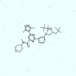 Cc1noc(C)c1-c1cc(C(=O)N(C)C2CCOCC2)nc(-c2cccc(OCC([CH]C(C)(C)C)O[Si](C)(C)C(C)(C)C)c2)n1